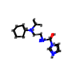 CC(C)N(CCNC(=O)n1ccnc1)C1CCCCC1